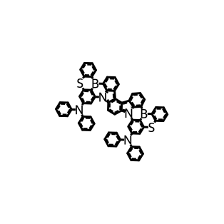 c1ccc(N(c2ccccc2)c2cc3c4c(c2)-n2c5ccc6c(c7cccc8c7n6-c6cc(N(c7ccccc7)c7ccccc7)cc7c6B8c6ccccc6S7)c5c5cccc(c52)B4c2ccccc2S3)cc1